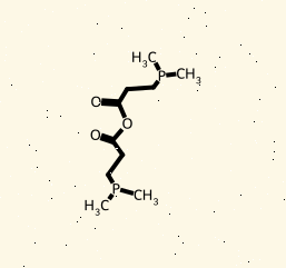 CP(C)CCC(=O)OC(=O)CCP(C)C